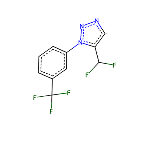 FC(F)c1[c]nnn1-c1cccc(C(F)(F)F)c1